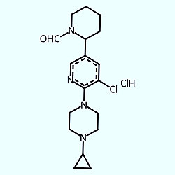 Cl.O=CN1CCCCC1c1cnc(N2CCN(C3CC3)CC2)c(Cl)c1